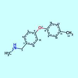 CNCc1ccc(Oc2ccc(C)cc2)cc1